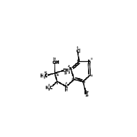 CC(Nc1nc(Cl)ncc1Br)C(C)(C)O